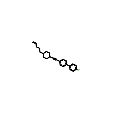 C=CCCCC1CCC(C#Cc2ccc(-c3ccc(Cl)cc3)cc2)CC1